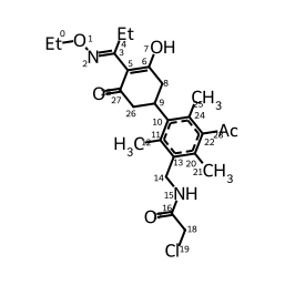 CCON=C(CC)C1=C(O)CC(c2c(C)c(CNC(=O)CCl)c(C)c(C(C)=O)c2C)CC1=O